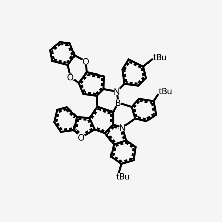 CC(C)(C)c1ccc(N2B3c4cc(C(C)(C)C)ccc4-n4c5ccc(C(C)(C)C)cc5c5c6oc7ccccc7c6c(c3c54)-c3cc4c(cc32)Oc2ccccc2O4)cc1